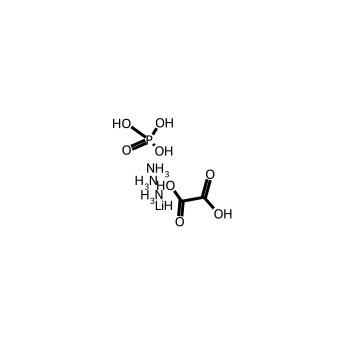 N.N.N.O=C(O)C(=O)O.O=P(O)(O)O.[LiH]